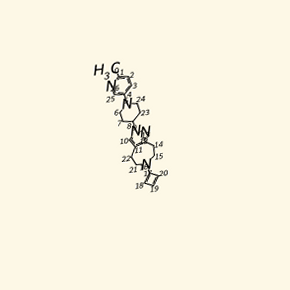 Cc1ccc(N2CCC(n3cc4c(n3)CCN(C3=CC=C3)CC4)CC2)cn1